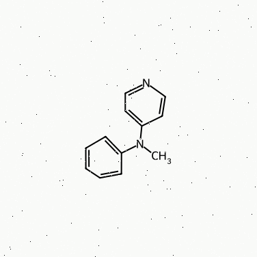 CN(c1ccccc1)c1ccncc1